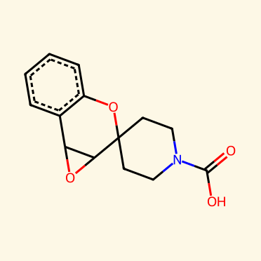 O=C(O)N1CCC2(CC1)Oc1ccccc1C1OC12